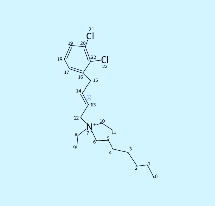 CCCCCCC[N+](CC)(CC)C/C=C/Cc1cccc(Cl)c1Cl